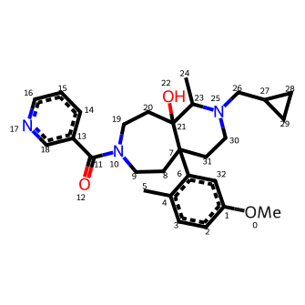 COc1ccc(C)c(C23CCN(C(=O)c4cccnc4)CCC2(O)C(C)N(CC2CC2)CC3)c1